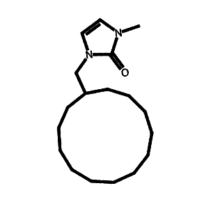 Cn1ccn(CC2CCCCCCCCCCCC2)c1=O